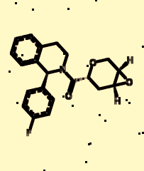 O=C([C@H]1C[C@H]2O[C@H]2CO1)N1CCc2ccccc2[C@@H]1c1ccc(F)cc1